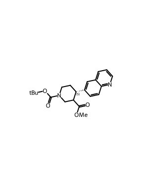 COC(=O)C1CN(C(=O)OC(C)(C)C)CC[C@@H]1c1ccc2ncccc2c1